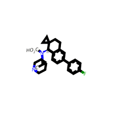 O=C(O)N(C1CN2CCC1CC2)[C@@H]1c2ccc(-c3ccc(F)cc3)cc2CCC12CC2